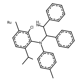 Cc1ccc(N(c2c(C(C)C)ccc(C)c2Cl)C(c2ccccc2)C(N)c2ccccc2)cc1.[Ru]